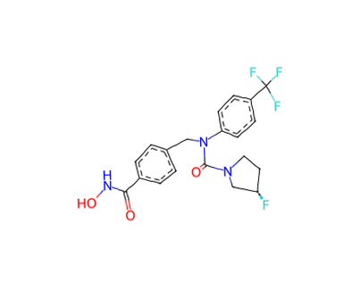 O=C(NO)c1ccc(CN(C(=O)N2CC[C@@H](F)C2)c2ccc(C(F)(F)F)cc2)cc1